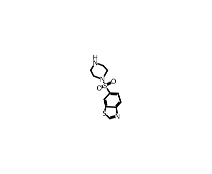 O=S(=O)(c1ccc2ncsc2c1)N1CCNCC1